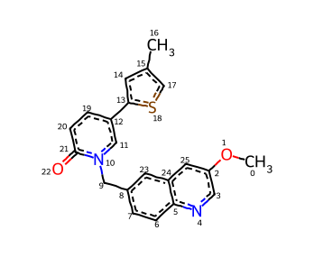 COc1cnc2ccc(Cn3cc(-c4cc(C)cs4)ccc3=O)cc2c1